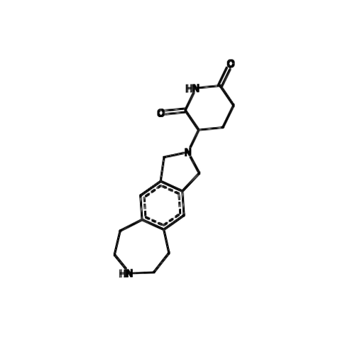 O=C1CCC(N2Cc3cc4c(cc3C2)CCNCC4)C(=O)N1